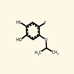 CC(C)Oc1cc(O)c(S)cc1F